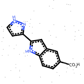 O=C(O)c1ccc2[nH]c(-c3cc[nH]n3)cc2c1